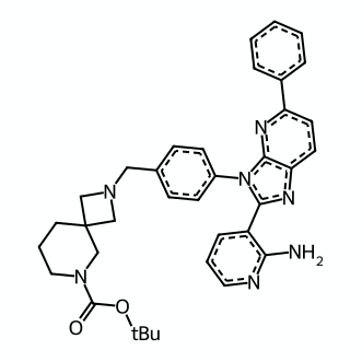 CC(C)(C)OC(=O)N1CCCC2(CN(Cc3ccc(-n4c(-c5cccnc5N)nc5ccc(-c6ccccc6)nc54)cc3)C2)C1